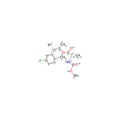 Cc1ccc(F)cc1[C@H](C(C)C)[C@H](C)OC(=O)[C@H](C)NC(=O)OC(C)(C)C